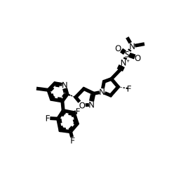 Cc1cnc([C@@H]2CC(N3CC(C#[N+]S(=O)(=O)N(C)C)[C@H](F)C3)=NO2)c(-c2c(F)cc(F)cc2F)c1